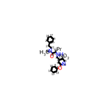 CC(C)C(NCc1cc(Oc2ccccc2)ncc1[N+](=O)[O-])C(=O)N(C)CCc1ccccc1